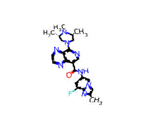 Cc1cn2cc(NC(=O)c3cnc(N4C[C@@H](C)N(C)[C@@H](C)C4)c4nccnc34)cc(F)c2n1